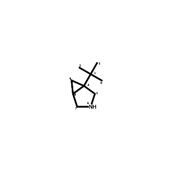 CC(C)(C)C12CNCC1C2